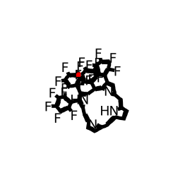 Fc1c(F)c(F)c(C2=Cc3cc4ccc(cc5nc(cc6[nH]c(c(-c7c(F)c(F)c(F)c(F)c7F)c2n3)c(-c2c(F)c(F)c(F)c(F)c2F)c6-c2c(F)c(F)c(F)c(F)c2F)C=C5)[nH]4)c(F)c1F